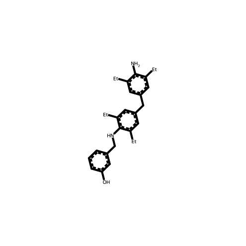 CCc1cc(Cc2cc(CC)c(NCc3cccc(O)c3)c(CC)c2)cc(CC)c1N